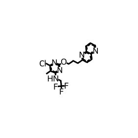 Cc1c(Cl)nc(OCCCc2ccc3ncccc3n2)nc1NCC(F)(F)F